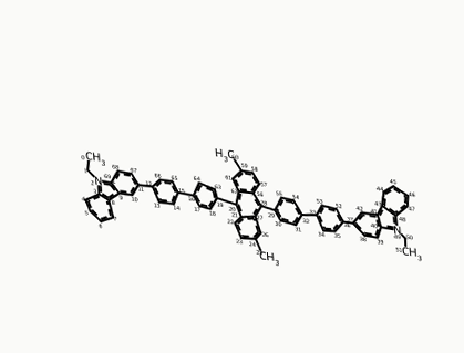 CCn1c2ccccc2c2cc(-c3ccc(-c4ccc(-c5c6ccc(C)cc6c(-c6ccc(-c7ccc(-c8ccc9c(c8)c8ccccc8n9CC)cc7)cc6)c6ccc(C)cc56)cc4)cc3)ccc21